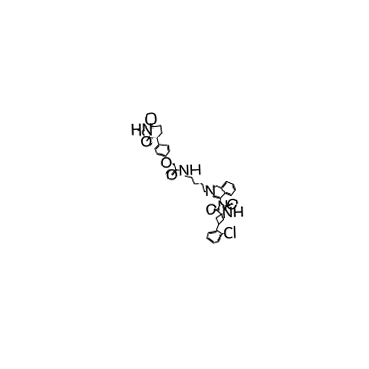 O=C(COc1ccc(C2CCC(=O)NC2=O)cc1)NCCCCCN1C=C(N2C(=O)NC3(CC(c4ccccc4Cl)C3)C2=O)c2ccccc2C1